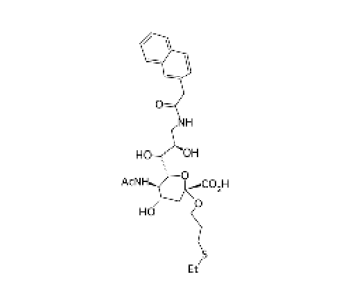 CCSCCCO[C@]1(C(=O)O)C[C@H](O)[C@@H](NC(C)=O)[C@H](C(O)[C@H](O)CNC(=O)Cc2ccc3ccccc3c2)O1